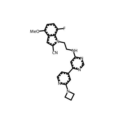 COc1ccc(F)c2c1cc(C#N)n2CCNc1cc(-c2ccnc(N3CCC3)c2)ncn1